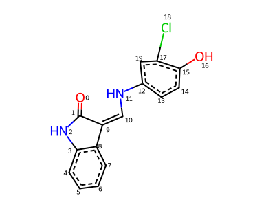 O=C1Nc2ccccc2C1=CNc1ccc(O)c(Cl)c1